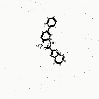 Nc1ccc(-c2ccccc2)cc1NC(=O)c1cn2cccnc2n1